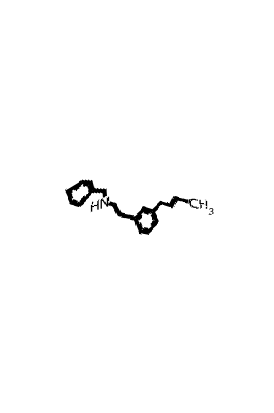 CCCCc1cccc(CCNCc2ccccc2)c1